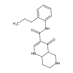 CCCc1ccccc1NC(=O)C1=CNC2CCNCC2C1=O